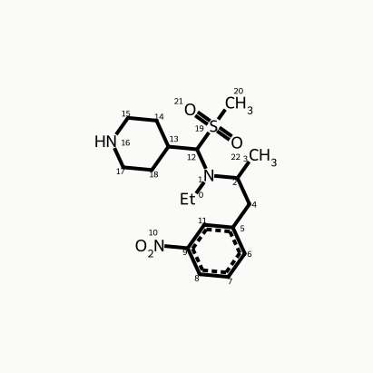 CCN(C(C)Cc1cccc([N+](=O)[O-])c1)C(C1CCNCC1)S(C)(=O)=O